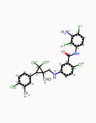 Nc1c(F)ccc(NC(=O)c2cc(NCC3(C=O)C(c4ccc(Cl)c(C(F)(F)F)c4)C3(Cl)Cl)ccc2Cl)c1F